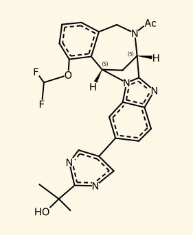 CC(=O)N1Cc2cccc(OC(F)F)c2[C@@H]2C[C@H]1c1nc3ccc(-c4cnc(C(C)(C)O)nc4)cc3n12